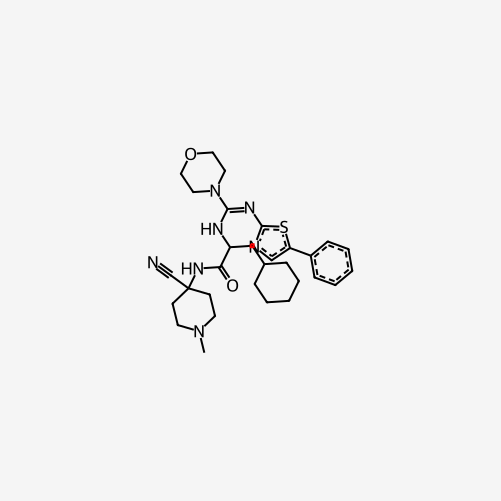 CN1CCC(C#N)(NC(=O)C(CC2CCCCC2)N/C(=N\c2ncc(-c3ccccc3)s2)N2CCOCC2)CC1